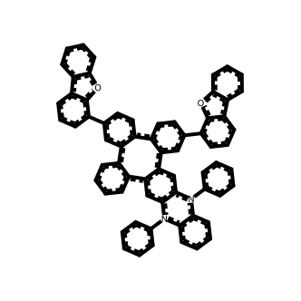 c1ccc(-n2c3ccccc3n(-c3ccccc3)c3cc4c5cc(-c6cccc7c6oc6ccccc67)ccc5c5ccc(-c6cccc7c6oc6ccccc67)cc5c5ccccc5c4cc32)cc1